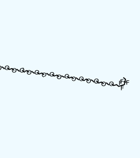 CCC(F)(F)CC(F)(F)CCCOCCOCCOCCOCCOCCOCCOCCOCCOCCOCCOCCOCCOCCOCCOCCO